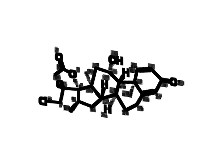 CC(=O)O[C@@]1(C(=O)CCl)[C@H](C)C[C@H]2[C@@H]3CCC4=CC(=O)C=C[C@]4(C)[C@H]3[C@@H](O)C[C@@]21C